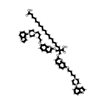 O=C(O)CCCCCCCCCCCCCCCCCC(COc1ccc2ccc(OCCCCN3CCN(c4cccc5sccc45)CC3)cc2n1)(COc1ccc2ccc(OCCCCN3CCN(c4cccc5sccc45)CC3)cc2n1)C(=O)O